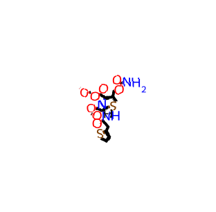 COCOC(=O)C1=C(COC(N)=O)CS[C@H]2N1C(=O)[C@]2(NC(=O)Cc1cccs1)OC